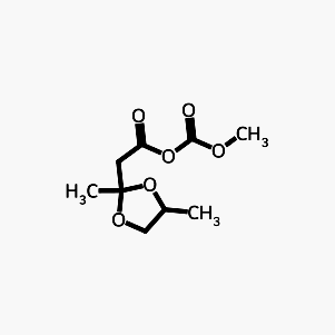 COC(=O)OC(=O)CC1(C)OCC(C)O1